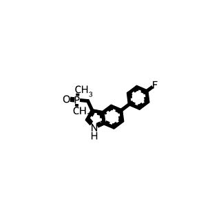 CP(C)(=O)Cc1c[nH]c2ccc(-c3ccc(F)cc3)cc12